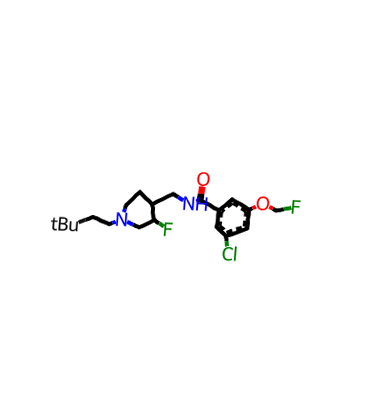 CC(C)(C)CCN1CCC(CNC(=O)c2cc(Cl)cc(OCF)c2)C(F)C1